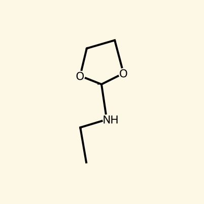 CCN[C]1OCCO1